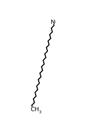 CCCCCCCCCCCCCCCCCCCCCCCCCCC[N]